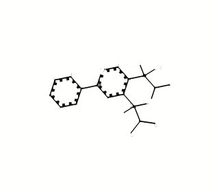 BC1(B)c2cnc(-c3ccccc3)cc2C(B)(C(C)C)BC1C